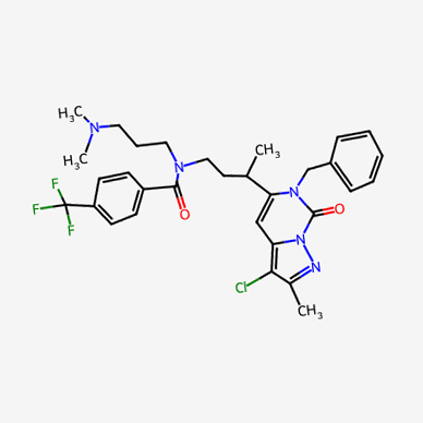 Cc1nn2c(=O)n(Cc3ccccc3)c(C(C)CCN(CCCN(C)C)C(=O)c3ccc(C(F)(F)F)cc3)cc2c1Cl